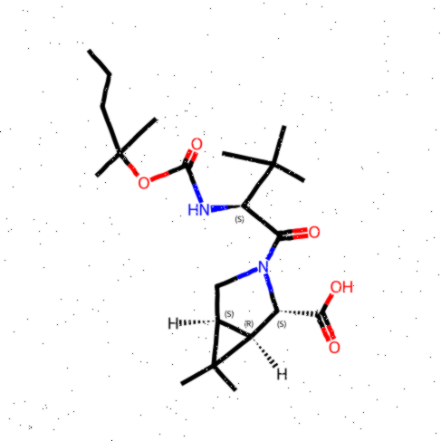 CCCC(C)(C)OC(=O)N[C@H](C(=O)N1C[C@H]2[C@@H]([C@H]1C(=O)O)C2(C)C)C(C)(C)C